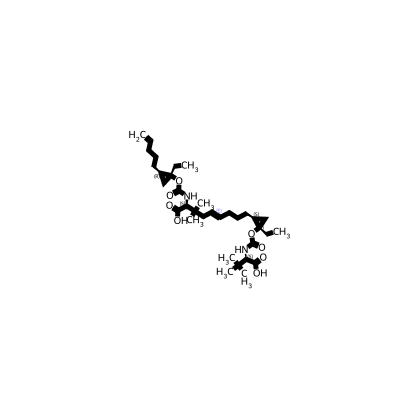 C=CCCC[C@@H]1C[C@@]1(CC)OC(=O)N[C@H](C(=O)O)C(C)(C)C/C=C/CCC[C@H]1C[C@]1(CC)OC(=O)N[C@H](C(=O)O)C(C)(C)C